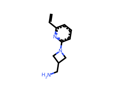 C=Cc1cccc(N2CC(CN)C2)n1